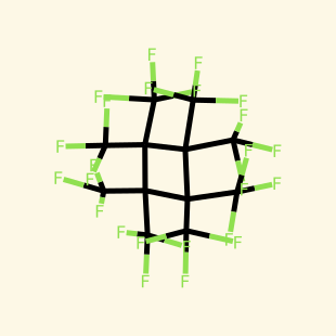 FC(F)(F)C1(C(F)(F)F)C(C(F)(F)F)(C(F)(F)F)C(C(F)(F)F)(C(F)(F)F)C1(C(F)(F)F)C(F)(F)F